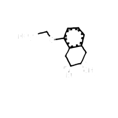 CC[C@@H]1Cc2c(cccc2OCC(=O)O)C[C@@H]1C